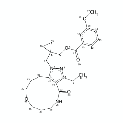 CCc1nn(CC2(COC(=O)c3cccc(OC)c3)CC2)c2c1C(=O)NCCCOCCC2